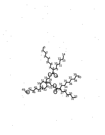 CCCCCCCCC(CCCCCC)C(=O)OCCC1(CCOC(=O)C(CCCCCC)CCCCCCCC)CCN(CCCCOC)CC1